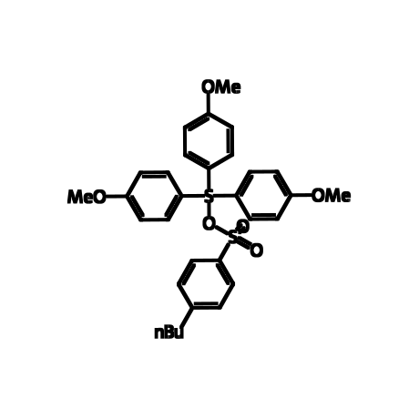 CCCCc1ccc(S(=O)(=O)OS(c2ccc(OC)cc2)(c2ccc(OC)cc2)c2ccc(OC)cc2)cc1